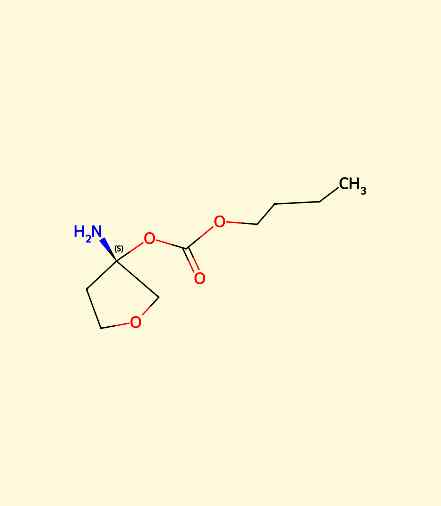 CCCCOC(=O)O[C@@]1(N)CCOC1